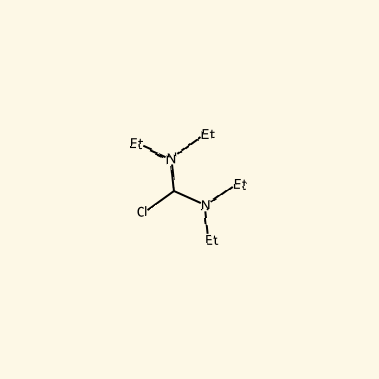 CCN(CC)C(Cl)N(CC)CC